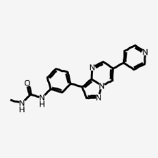 CNC(=O)Nc1cccc(-c2cnn3cc(-c4ccncc4)cnc23)c1